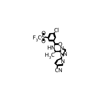 C[C@@H](NC(=O)c1cc(Cl)cc(S(=O)(=O)C(F)(F)F)c1)c1ncnn1-c1ccc(C#N)cn1